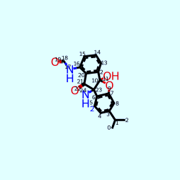 CC(C)c1ccc2c(c1)OC1(O)c3cccc(NC=O)c3C(=O)C21N